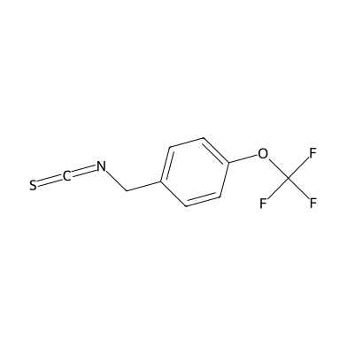 FC(F)(F)Oc1ccc(CN=C=S)cc1